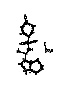 CC(=O)O.CCC(NS(=O)(=O)c1ccc(Cl)cc1)c1c[nH]c2ccccc12